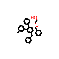 Cc1cccc(-c2cc(Cc3ccccc3)ccc2-c2ccccc2)c1.OCCOCc1ccccc1